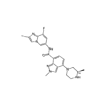 Cc1cn2cc(NC(=O)c3ccc(N4CCN[C@H](C)C4)c4cn(C)nc34)cc(F)c2n1